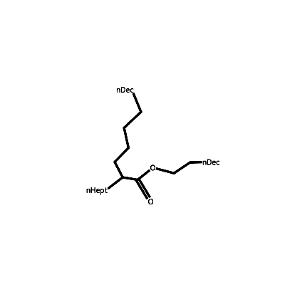 CCCCCCCCCCCCCCC(CCCCCCC)C(=O)OCCCCCCCCCCCC